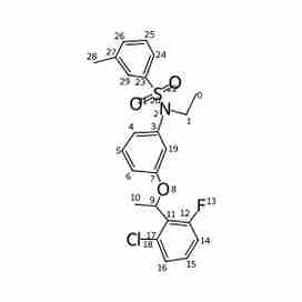 CCN(c1cccc(OC(C)c2c(F)cccc2Cl)c1)S(=O)(=O)c1cccc(C)c1